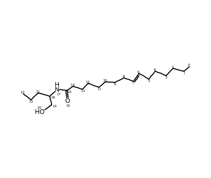 CCCCCCC=CCCCCCCCC(=O)NC(CO)CCC